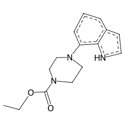 CCOC(=O)N1CCN(c2cccc3cc[nH]c23)CC1